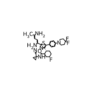 C/C(N)=C/C=C(\N)c1nc([C@@H]2CC[C@H](F)CC2C(=O)NC2(C#N)CC2)c(-c2ccc(N3CCC(F)(F)CC3)cc2)s1